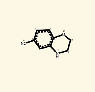 N#Cc1ccc2c(c1)NCCO2